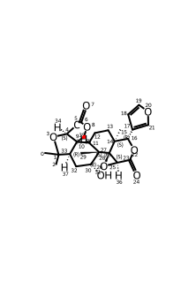 CC1(C)O[C@H]2CC(=O)OC[C@]23[C@H]2CC[C@@]4(C)[C@H](c5ccoc5)OC(=O)[C@H]5O[C@]54[C@]2(C)[C@H](O)C[C@@H]13